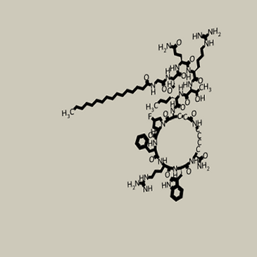 CCCCCCCCCCCCCCCC(=O)NCC(=O)N[C@@H](CO)C(=O)N[C@@H](CCC(N)=O)C(=O)N[C@@H](CCCCNC(=N)N)C(=O)N[C@H](C(=O)N[C@@H](CCCC)C(=O)N[C@H]1CCC(=O)NCCCC[C@@H](C(N)=O)NC(=O)[C@H](Cc2c[nH]c3ccccc23)NC(=O)C(CCCNC(=N)N)NC(=O)C(Cc2ccccc2)NC(=O)[C@@H]2CC(F)CN2C1=O)C(C)O